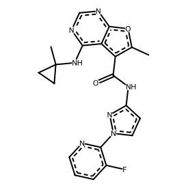 Cc1oc2ncnc(NC3(C)CC3)c2c1C(=O)Nc1ccn(-c2ncccc2F)n1